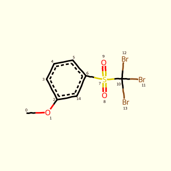 COc1cccc(S(=O)(=O)C(Br)(Br)Br)c1